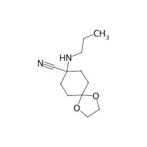 CCCNC1(C#N)CCC2(CC1)OCCO2